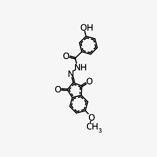 COc1ccc2c(=O)c(=NNC(=O)c3cccc(O)c3)c(=O)c2c1